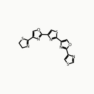 c1nc(-c2nc(-c3nc(-c4nc(C5=NCCS5)co4)cs3)co2)cs1